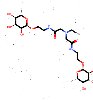 CC(=O)CN(CC(=O)NCCO[C@@H]1O[C@@H](C)[C@@H](O)[C@@H](O)[C@@H]1O)CC(=O)NCCO[C@@H]1O[C@@H](C)[C@@H](O)[C@@H](O)[C@@H]1O